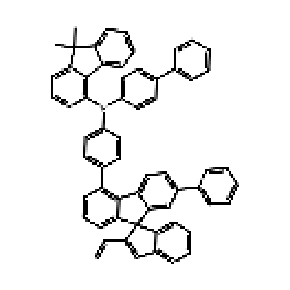 C=CC1=Cc2ccccc2C12c1cc(-c3ccccc3)ccc1-c1c(-c3ccc(N(c4ccc(-c5ccccc5)cc4)c4cccc5c4-c4ccccc4C5(C)C)cc3)cccc12